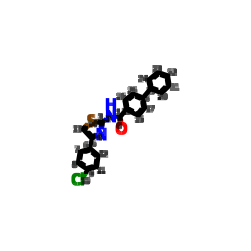 O=C(Nc1nc(-c2ccc(Cl)cc2)cs1)c1ccc(-c2ccccc2)cc1